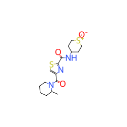 CC1CCCCN1C(=O)c1csc(C(=O)NC2CC[S+]([O-])CC2)n1